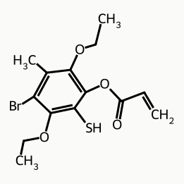 C=CC(=O)Oc1c(S)c(OCC)c(Br)c(C)c1OCC